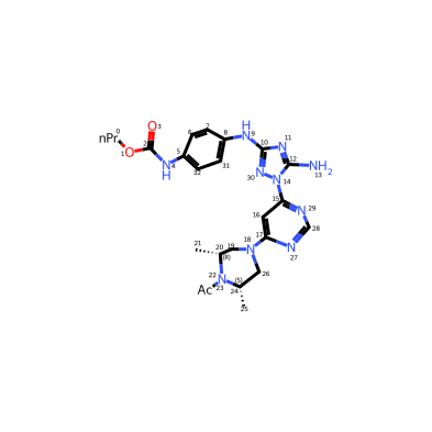 CCCOC(=O)Nc1ccc(Nc2nc(N)n(-c3cc(N4C[C@@H](C)N(C(C)=O)[C@@H](C)C4)ncn3)n2)cc1